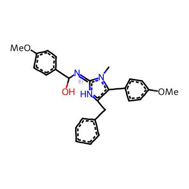 COc1ccc(-c2c(Cc3ccccc3)[nH]/c(=N\C(O)c3ccc(OC)cc3)n2C)cc1